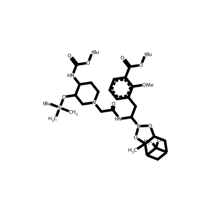 COc1c(CC(NC(=O)CN2CCC(NC(=O)OC(C)(C)C)C(O[Si](C)(C)C(C)(C)C)C2)B2OC3CC4CC(C4(C)C)C3(C)O2)cccc1C(=O)OC(C)(C)C